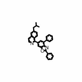 CC(C)Cc1ccc2c(-c3cc(-c4ccccc4)c4nc(-c5ccccc5)oc4c3)nccc2c1